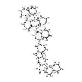 CC1(C)c2cc3oc4cc(-c5ccc(-c6c7ccccc7c(-c7cccc8ccccc78)c7ccccc67)c6ccccc56)ccc4c3cc2-c2c1ccc1ccccc21